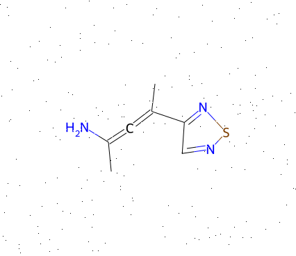 CC(N)=C=C(C)c1cnsn1